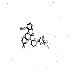 Cc1cccc(F)c1N1Cc2cnc(Cl)nc2N([C@H]2CCCN(C(=O)OC(C)(C)C)C2)C1=O